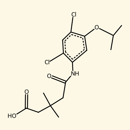 CC(C)Oc1cc(NC(=O)CC(C)(C)CC(=O)O)c(Cl)cc1Cl